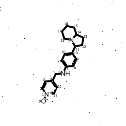 [O-][n+]1ccc(CNc2ccc(C3CCC4CCCCN43)cc2)cc1